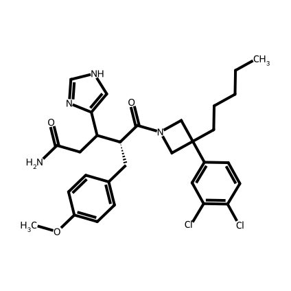 CCCCCC1(c2ccc(Cl)c(Cl)c2)CN(C(=O)[C@H](Cc2ccc(OC)cc2)C(CC(N)=O)c2c[nH]cn2)C1